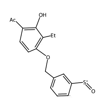 CCc1c(OCc2cc[c]c([S+]=O)c2)ccc(C(C)=O)c1O